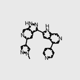 Cn1cc(-c2cc3c(-c4cc5c(-c6ccncc6)cncc5[nH]4)n[nH]c3cn2)cn1